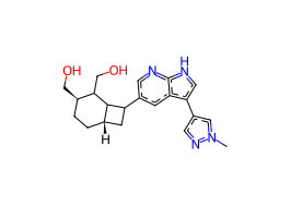 Cn1cc(-c2c[nH]c3ncc(C4C[C@@H]5CC[C@@H](CO)C(CO)C45)cc23)cn1